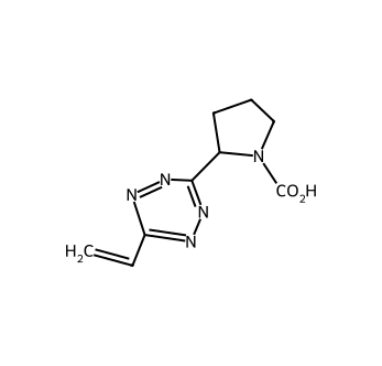 C=Cc1nnc(C2CCCN2C(=O)O)nn1